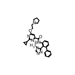 Cn1cnnc1-c1c(NC(=O)c2cc(OCCN3CCCC3)nc(C3CC3)n2)cccc1-c1ccccc1